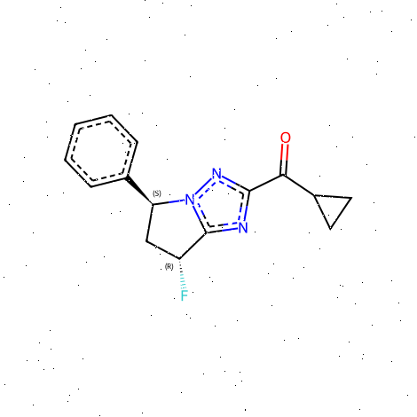 O=C(c1nc2n(n1)[C@H](c1ccccc1)C[C@H]2F)C1CC1